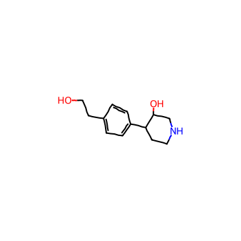 OCCc1ccc(C2CCNCC2O)cc1